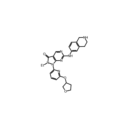 CCn1c(=O)c2cnc(Nc3ccc4c(c3)CCNC4)nc2n1-c1cccc(OC2CCOC2)n1